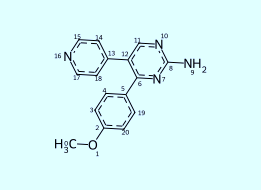 COc1ccc(-c2nc(N)ncc2-c2ccncc2)cc1